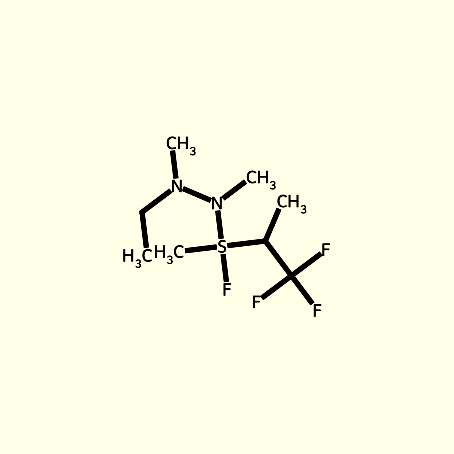 CCN(C)N(C)S(C)(F)C(C)C(F)(F)F